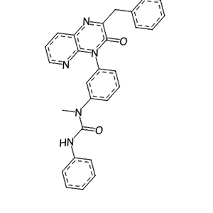 CN(C(=O)Nc1ccccc1)c1cccc(-n2c(=O)c(Cc3ccccc3)nc3cccnc32)c1